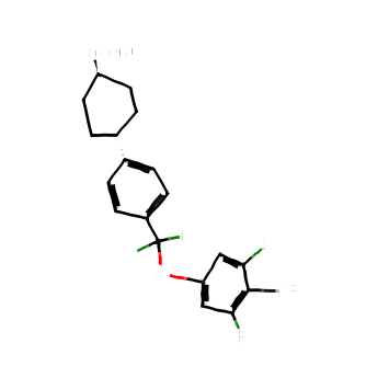 CCCCC[C@H]1CC[C@H](c2ccc(C(F)(F)Oc3cc(F)c(C(F)(F)F)c(F)c3)cc2)CC1